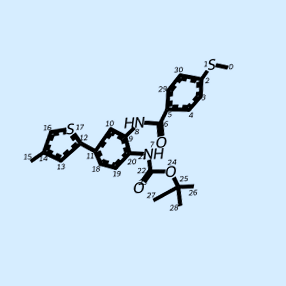 CSc1ccc(C(=O)Nc2cc(-c3cc(C)cs3)ccc2NC(=O)OC(C)(C)C)cc1